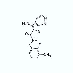 Cc1cccc(CNC(=O)c2sc3nnccc3c2N)c1F